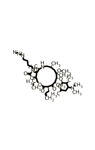 C=CC[C@H]1C(=O)O[C@H](CC)[C@@]2(C)OC(=O)N(CCCCN=[N+]=[N-])[C@@H]2[C@@H](C)NC[C@H](C)C[C@@](C)(OC)[C@H](O[C@@H]2OC(C)CC(N(C)C)C2C)[C@@H](C)C1=O